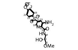 COC[C@H](O)CNC(=O)c1ncc(S(=O)(=O)c2ccc(OC(F)(F)F)cc2)cc1N